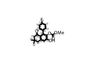 COC(=O)Oc1c(O)cc2c(c1-c1ccc(F)cc1)C(=O)CC(C)(C)C2